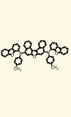 Cc1ccc(N(c2cc3oc4cc(N(c5ccc(C)cc5)c5cccc6c5oc5ccccc56)c5ccccc5c4c3c3ccccc23)c2cccc3c2oc2ccccc23)cc1